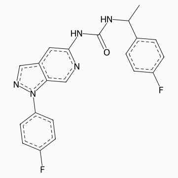 CC(NC(=O)Nc1cc2cnn(-c3ccc(F)cc3)c2cn1)c1ccc(F)cc1